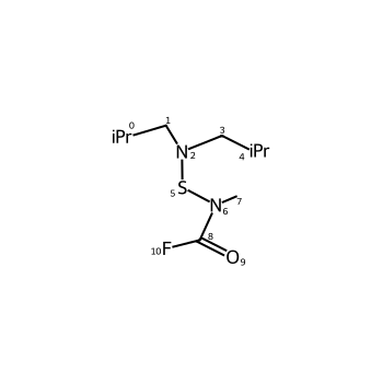 CC(C)CN(CC(C)C)SN(C)C(=O)F